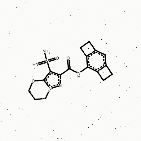 N=S(N)(=O)c1c(C(=O)Nc2c3c(cc4c2CC4)CC3)nn2c1OCCC2